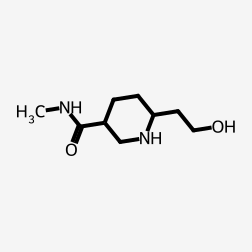 CNC(=O)C1CCC(CCO)NC1